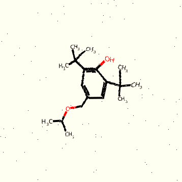 CC(C)OCc1cc(C(C)(C)C)c(O)c(C(C)(C)C)c1